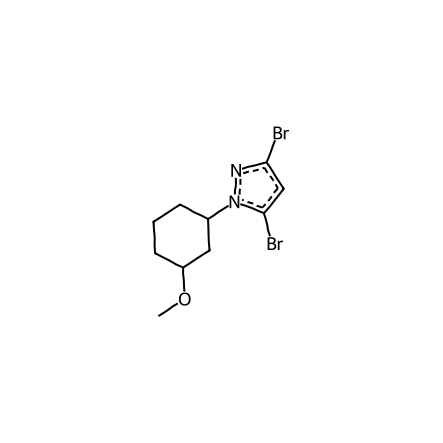 COC1CCCC(n2nc(Br)cc2Br)C1